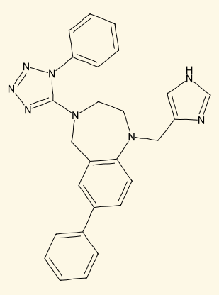 c1ccc(-c2ccc3c(c2)CN(c2nnnn2-c2ccccc2)CCN3Cc2c[nH]cn2)cc1